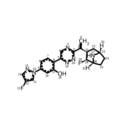 C=C(c1ncc(-c2ccc(-n3cc(F)cn3)cc2O)nn1)[C@H]1C[C@@H]2CC[C@@H](N2)[C@H]1F